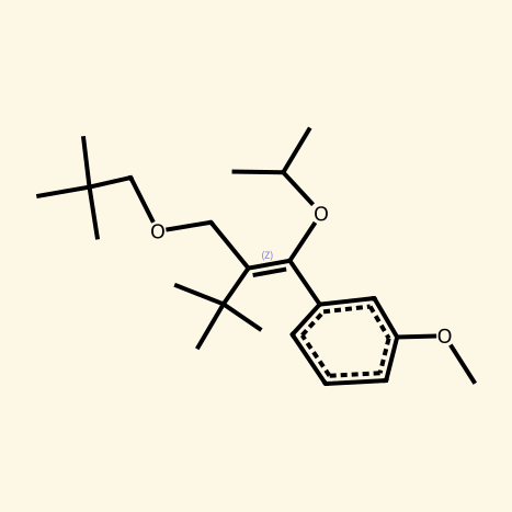 COc1cccc(/C(OC(C)C)=C(/COCC(C)(C)C)C(C)(C)C)c1